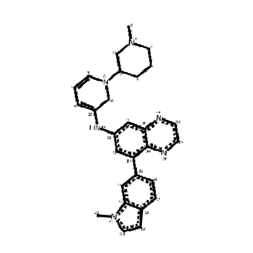 CN1CCCC(N2C=CC=C(Nc3cc(-c4ccc5ccn(C)c5c4)c4nccnc4c3)C2)C1